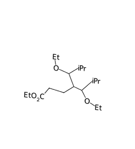 CCOC(=O)CCC(C(OCC)C(C)C)C(OCC)C(C)C